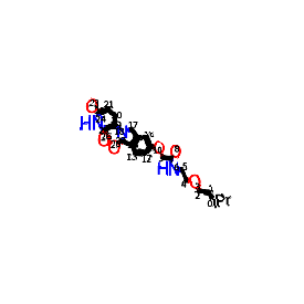 CC(C)CCOCCNC(=O)COc1ccc2c(c1)CN(C1CCC(=O)NC1=O)C2=O